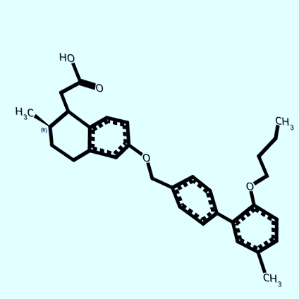 CCCCOc1ccc(C)cc1-c1ccc(COc2ccc3c(c2)CC[C@@H](C)C3CC(=O)O)cc1